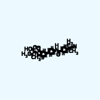 CC(C)[C@@H](C(=O)O)N1Cc2ccc(-c3ccc(NC(=O)c4ccc(C(C)(C)C#N)cc4)cc3)cc2C1=O